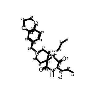 CCCCN1C(=O)[C@H]([C@@H](C)CC)NC(=O)C12CCN(Cc1ccc3c(c1)OCCO3)CC2